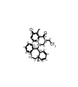 Cc1c2n(ccc1=O)N(C1c3ccccc3SCC3(C)C=CC=CC13)CN(CC(F)(F)F)C2=O